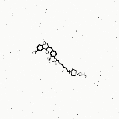 COc1cc(C=C2COc3ccc(Cl)cc3C2=O)ccc1OCCCCCCN1CCN(C)CC1